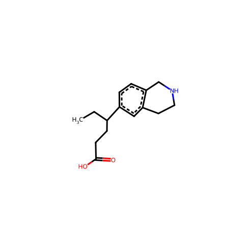 CCC(CCC(=O)O)c1ccc2c(c1)CCNC2